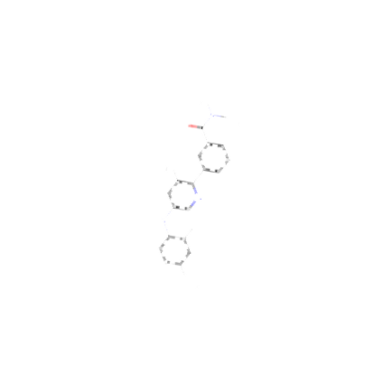 Cc1ccc(Nc2cnc(-c3cccc(C(=O)N(C)C)c3)c(C)c2)c(C(=O)O)c1